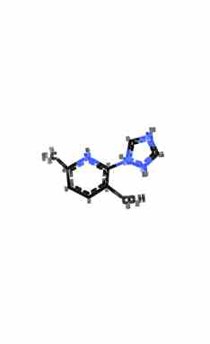 O=C(O)c1ccc(C(F)(F)F)nc1-n1cncn1